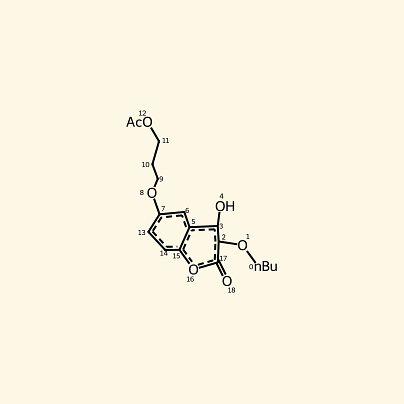 CCCCOc1c(O)c2cc(OCCCOC(C)=O)ccc2oc1=O